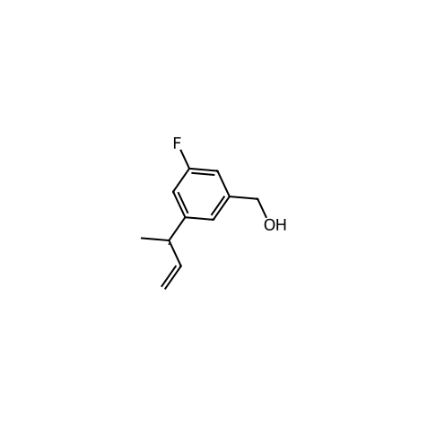 C=C[C](C)c1cc(F)cc(CO)c1